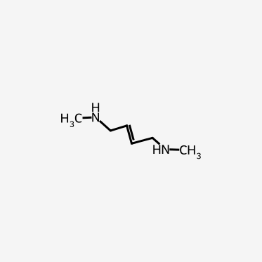 CNCC=CCNC